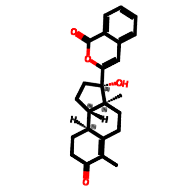 CC1=C2CC[C@@]3(C)[C@@H](CC[C@@]3(O)c3cc4ccccc4c(=O)o3)[C@@H]2CCC1=O